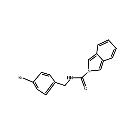 O=C(NCc1ccc(Br)cc1)n1cc2ccccc2c1